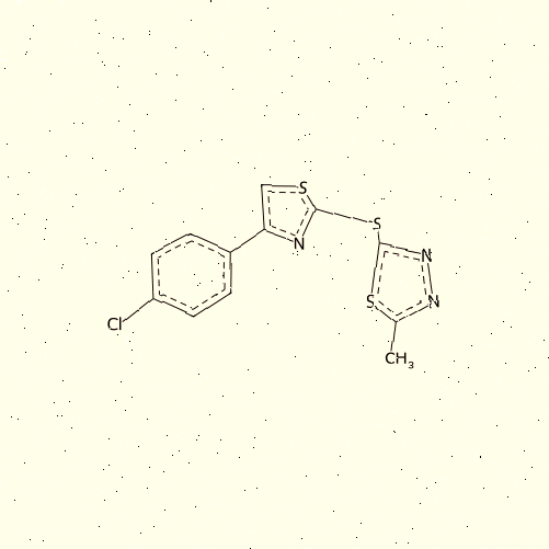 Cc1nnc(Sc2nc(-c3ccc(Cl)cc3)cs2)s1